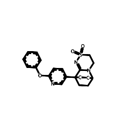 O=S1(=O)CCN2C(=N1)C1(c3ccc(Oc4ccccc4)nc3)CCC2CC1